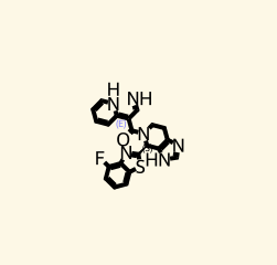 N=C/C(C(=O)N1CCc2nc[nH]c2[C@H]1c1nc2c(F)cccc2s1)=C1/C=CC=CN1